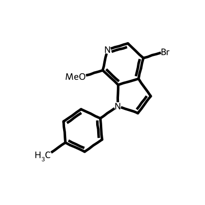 COc1ncc(Br)c2ccn(-c3ccc(C)cc3)c12